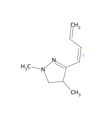 C=C/C=C\C1=NN(C)CC1C